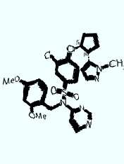 COc1ccc(CN(c2ccncn2)S(=O)(=O)c2ccc(O[C@H]3CCC[C@@H]3c3ccnn3C)c(Cl)c2)c(OC)c1